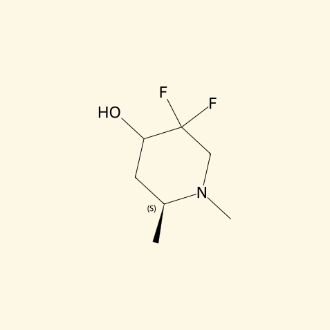 C[C@H]1CC(O)C(F)(F)CN1C